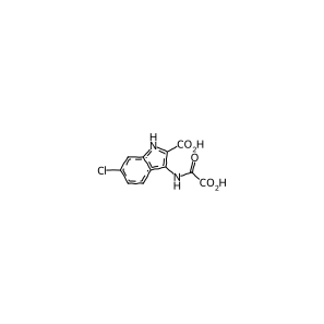 O=C(O)C(=O)Nc1c(C(=O)O)[nH]c2cc(Cl)ccc12